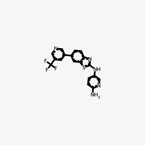 Nc1ccc(Nc2nc3ccc(-c4cncc(C(F)(F)F)c4)cc3s2)cn1